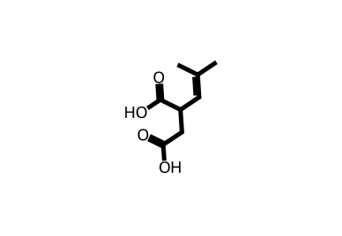 CC(C)=CC(CC(=O)O)C(=O)O